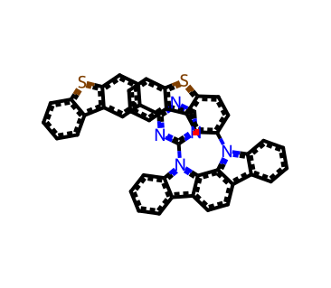 c1ccc2c(c1)sc1ccc(-c3ncnc(-n4c5ccccc5c5ccc6c7ccccc7n(-c7ccc8sc9ccccc9c8c7)c6c54)n3)cc12